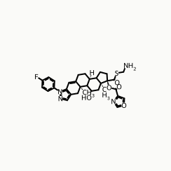 C[C@]12Cc3cnn(-c4ccc(F)cc4)c3C=C1CC[C@@H]1C2[C@@H](O)C[C@@]2(C)C1CC[C@]2(OC(=O)c1cocn1)C(=O)SCN